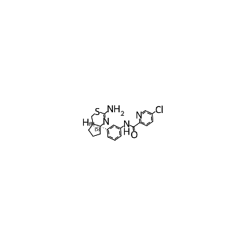 NC1=N[C@@]2(c3cccc(NC(=O)c4ccc(Cl)cn4)c3)CCC[C@H]2CS1